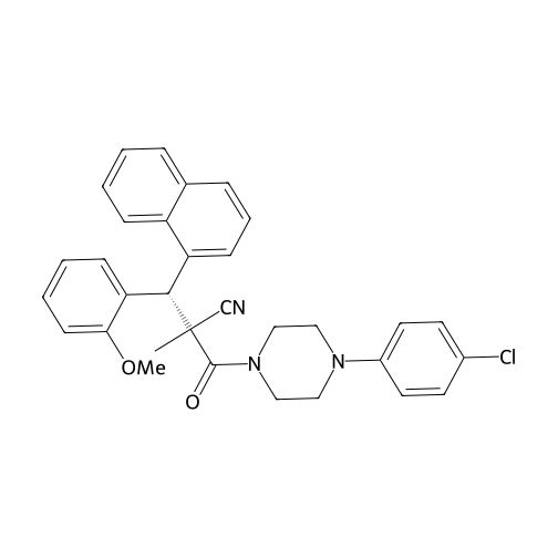 COc1ccccc1[C@H](c1cccc2ccccc12)C(C)(C#N)C(=O)N1CCN(c2ccc(Cl)cc2)CC1